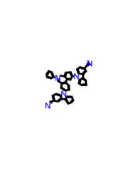 N#Cc1ccc2c(c1)c1ccccc1n2-c1ccc2c(c1)CN(c1ccccc1)Cc1ccc(-n3c4ccccc4c4cc(C#N)ccc43)cc1-2